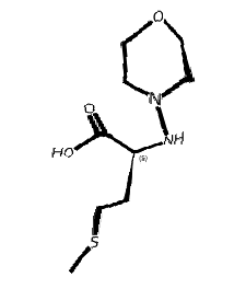 CSCC[C@H](NN1CCOCC1)C(=O)O